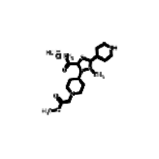 COC(=O)CN1CCC(N2C(C(N)=O)SC(C3CCNCC3)N2C)CC1.Cl.Cl